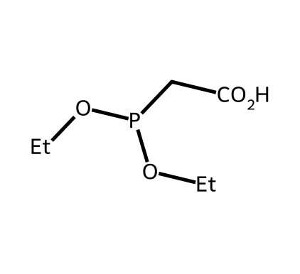 CCOP(CC(=O)O)OCC